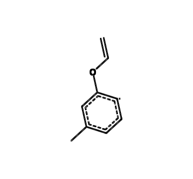 C=COc1[c]ccc(C)c1